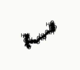 CCN(c1cc(-c2ccc(N3CCN(C(=O)CCC(=O)NCCCC(=O)NCCCC(=O)NCCOc4cccc5c4C(=O)N(C4CCC(=O)NC4=O)C5=O)CC3)cc2)cc(C(=O)NCc2c(C)cc(C)[nH]c2=O)c1C)C1CCOCC1